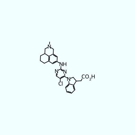 CN1Cc2cc(Nc3ncc(Cl)c(N4CC(CC(=O)O)c5ccccc54)n3)cc3c2C(CCC3)C1